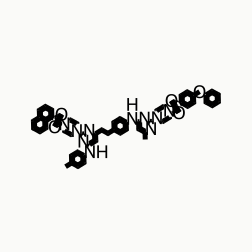 Cc1ccc(Nc2cc(CCc3ccc(Nc4cc(C)nc(N5CCN(S(=O)(=O)c6ccc(Oc7ccccc7)cc6)CC5)n4)cc3)nc(N3CCN(S(=O)(=O)c4cccc5ccccc45)CC3)n2)cc1